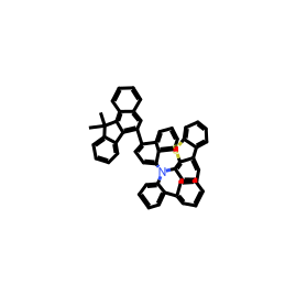 CC1(C)c2ccccc2-c2c(-c3ccc(N(c4ccccc4-c4ccccc4)c4cccc5c4sc4ccccc45)c4ccccc34)cc3ccccc3c21